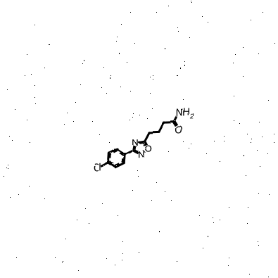 NC(=O)CCCc1nc(-c2ccc(Cl)cc2)no1